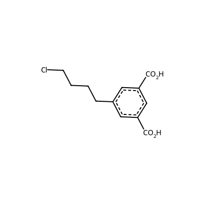 O=C(O)c1cc(CCCCCl)cc(C(=O)O)c1